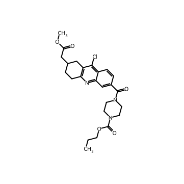 CCCOC(=O)N1CCN(C(=O)c2ccc3c(Cl)c4c(nc3c2)CCC(CC(=O)OC)C4)CC1